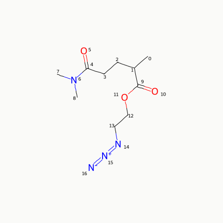 CC(CCC(=O)N(C)C)C(=O)OCCN=[N+]=[N-]